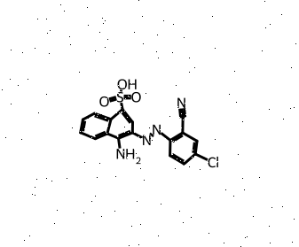 N#Cc1cc(Cl)ccc1/N=N/c1cc(S(=O)(=O)O)c2ccccc2c1N